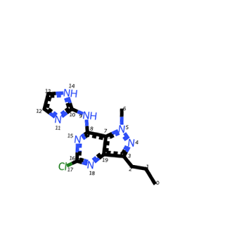 CCCc1nn(C)c2c(Nc3ncc[nH]3)nc(Cl)nc12